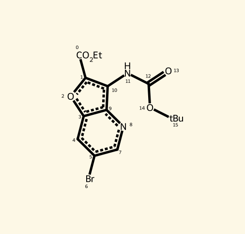 CCOC(=O)c1oc2cc(Br)cnc2c1NC(=O)OC(C)(C)C